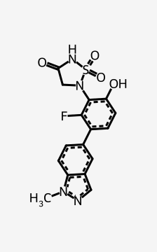 Cn1ncc2cc(-c3ccc(O)c(N4CC(=O)NS4(=O)=O)c3F)ccc21